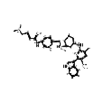 Cc1cc(C(F)(F)F)c(-c2c[nH]c3ccccc23)nc1N[C@@H]1CCC[C@](C)(NCc2ccc(NC(=O)/C=C/CN(C)C)cn2)C1